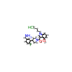 CCCCn1cc(C(=O)N2CCC(c3cc(CN)ccc3F)CC2)c2c(OC)cccc21.Cl